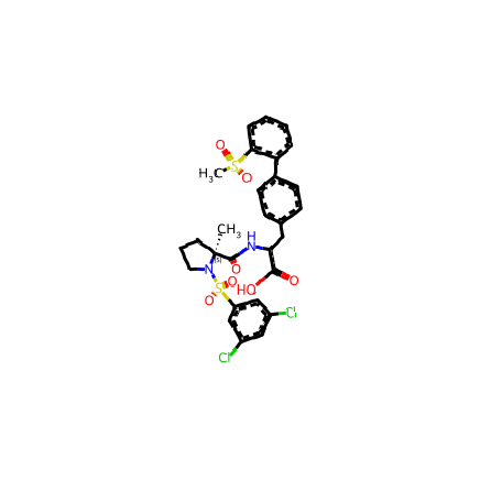 C[C@@]1(C(=O)NC(Cc2ccc(-c3ccccc3S(C)(=O)=O)cc2)C(=O)O)CCCN1S(=O)(=O)c1cc(Cl)cc(Cl)c1